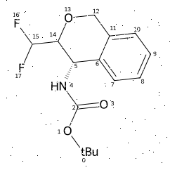 CC(C)(C)OC(=O)N[C@H]1c2ccccc2COC1C(F)F